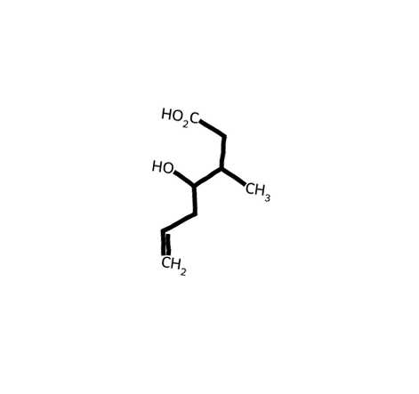 C=CCC(O)C(C)CC(=O)O